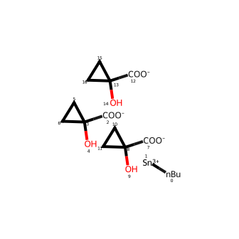 CCC[CH2][Sn+3].O=C([O-])C1(O)CC1.O=C([O-])C1(O)CC1.O=C([O-])C1(O)CC1